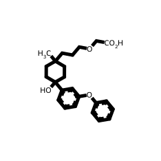 CC1(CCCOCC(=O)O)CCC(O)(c2cccc(Oc3ccccc3)c2)CC1